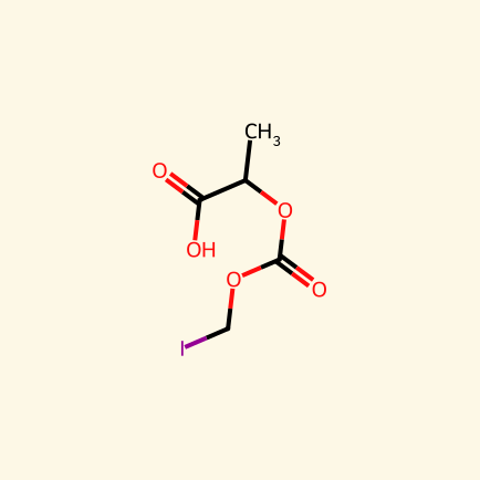 CC(OC(=O)OCI)C(=O)O